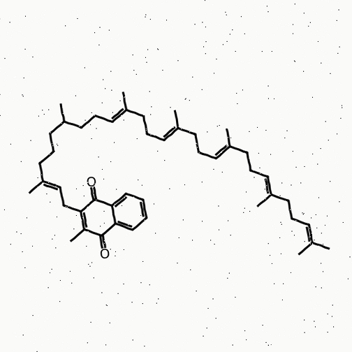 CC(C)=CCC/C(C)=C/CC/C(C)=C/CC/C(C)=C/CC/C(C)=C/CCC(C)CCC/C(C)=C/CC1=C(C)C(=O)c2ccccc2C1=O